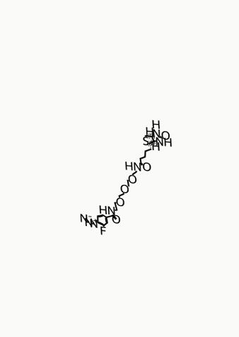 [N-]=[N+]=Nc1ccc(C(=O)NCCOCCOCCOCCNC(=O)CCCC[C@@H]2SC[C@@H]3NC(=O)N[C@@H]32)cc1F